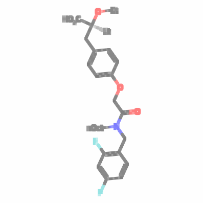 CCCCCCCCN(Cc1ccc(F)cc1F)C(=O)COc1ccc(C[C@](CC)(OCC)C(=O)O)cc1